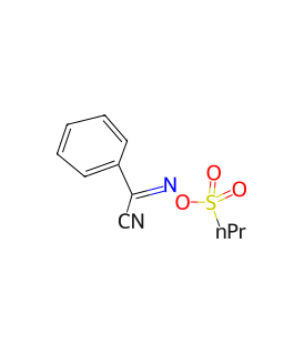 CCCS(=O)(=O)ON=C(C#N)c1ccccc1